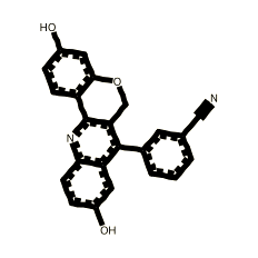 N#Cc1cccc(-c2c3c(nc4ccc(O)cc24)-c2ccc(O)cc2OC3)c1